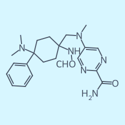 CN(CC1(NC=O)CCC(c2ccccc2)(N(C)C)CC1)c1cnc(C(N)=O)nc1